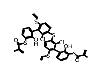 C=CSc1ccc(Sc2ccc(SC=C)c(-c3cccc(SC(=O)C(=C)C)c3O)c2Cl)c(Cl)c1-c1cccc(SC(=O)C(=C)C)c1O